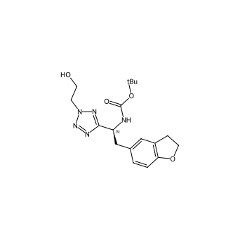 CC(C)(C)OC(=O)N[C@@H](Cc1ccc2c(c1)CCO2)c1nnn(CCO)n1